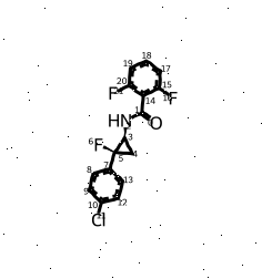 O=C(N[C@H]1C[C@]1(F)c1ccc(Cl)cc1)c1c(F)cccc1F